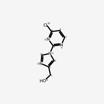 OCc1cn(-c2nccc(Cl)n2)cn1